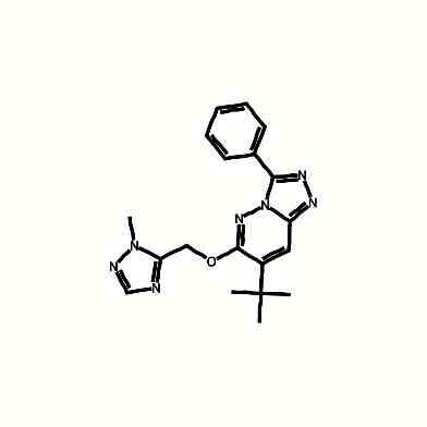 Cn1ncnc1COc1nn2c(-c3ccccc3)nnc2cc1C(C)(C)C